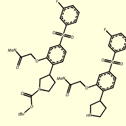 CNC(=O)COc1cc(S(=O)(=O)c2cccc(F)c2)ccc1C1CCN(C(=O)OC(C)(C)C)C1.CNC(=O)COc1cc(S(=O)(=O)c2cccc(F)c2)ccc1C1CCNC1